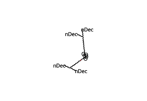 CCCCCCCCCCCCCCCCC(CCCCCCCCCCCCCCCC)CCCCCCCCCCCCCCCCCC(=O)C(=O)OC(=O)C(=O)CCCCCCCCCCCCCCCCCC(CCCCCCCCCCCCCCCC)CCCCCCCCCCCCCCCC